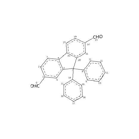 O=Cc1ccc2c(c1)C(c1ccccc1)(c1ccccc1)c1cc(C=O)ccc1-2